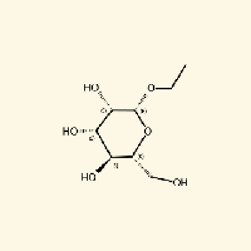 CCO[C@@H]1O[C@H](CO)[C@@H](O)[C@H](O)[C@@H]1O